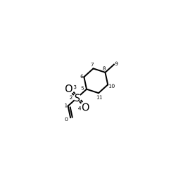 C=CS(=O)(=O)C1CCC(C)CC1